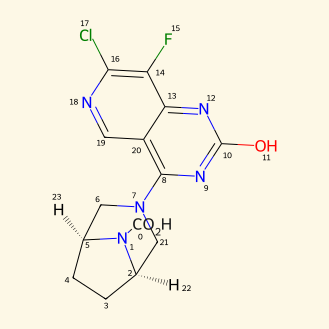 O=C(O)N1[C@@H]2CC[C@H]1CN(c1nc(O)nc3c(F)c(Cl)ncc13)C2